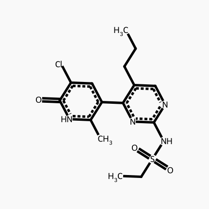 CCCc1cnc(NS(=O)(=O)CC)nc1-c1cc(Cl)c(=O)[nH]c1C